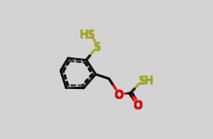 O=C(S)OCc1ccccc1SS